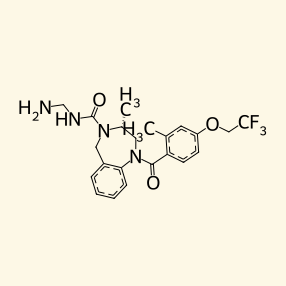 Cc1cc(OCC(F)(F)F)ccc1C(=O)N1C[C@@H](C)N(C(=O)NCN)Cc2ccccc21